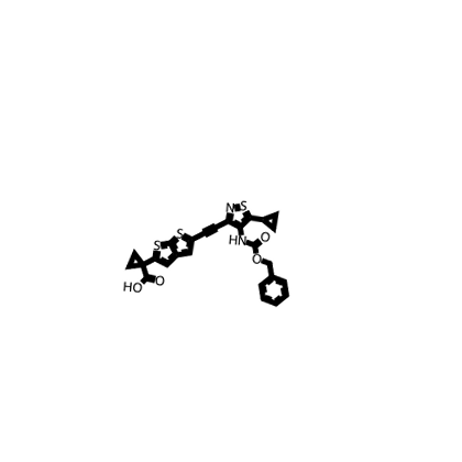 O=C(Nc1c(C#Cc2cc3cc(C4(C(=O)O)CC4)sc3s2)nsc1C1CC1)OCc1ccccc1